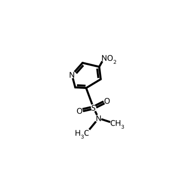 CN(C)S(=O)(=O)c1cncc([N+](=O)[O-])c1